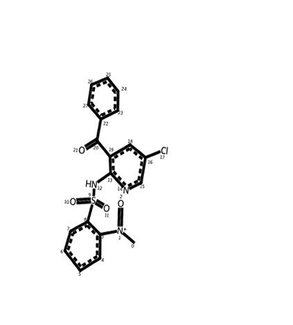 C[N+](=O)c1ccccc1S(=O)(=O)Nc1ncc(Cl)cc1C(=O)c1ccccc1